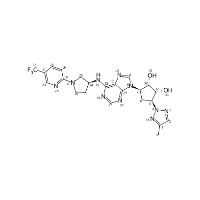 Cc1cnn([C@H]2C[C@@H](n3cnc4c(N[C@H]5CCN(c6ccc(C(F)(F)F)cn6)C5)ncnc43)[C@H](O)[C@@H]2O)n1